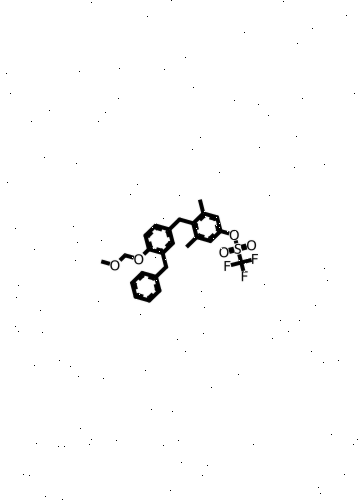 COCOc1ccc(Cc2c(C)cc(OS(=O)(=O)C(F)(F)F)cc2C)cc1Cc1ccccc1